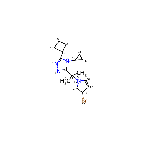 CC(C)(c1nnc(C2CCC2)n1C1CC1)N1C=CC(Br)C1